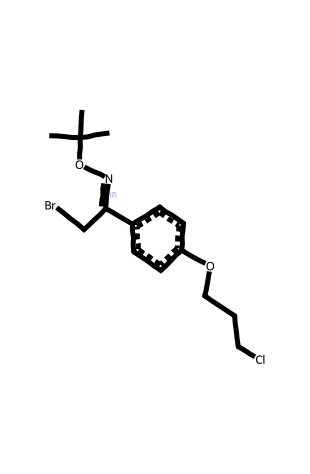 CC(C)(C)O/N=C(\CBr)c1ccc(OCCCCl)cc1